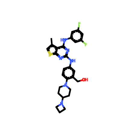 Cc1csc2nc(Nc3ccc(N4CCC(N5CCC5)CC4)c(CO)c3)nc(Nc3cc(F)cc(F)c3)c12